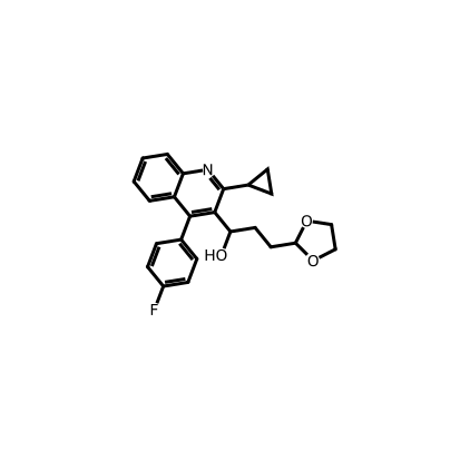 OC(CCC1OCCO1)c1c(C2CC2)nc2ccccc2c1-c1ccc(F)cc1